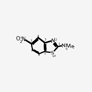 CNc1nc2cc([N+](=O)[O-])ccc2s1